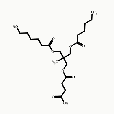 CCCCCC(=O)OCC(C)(COC(=O)CCCCCO)COC(=O)CCC(=O)O